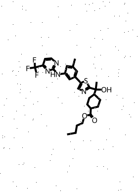 CCCCOC(=O)C1CCC(C(C)(O)c2ncc(-c3cc(C)cc(Nc4nccc(C(F)(F)F)n4)c3)s2)CC1